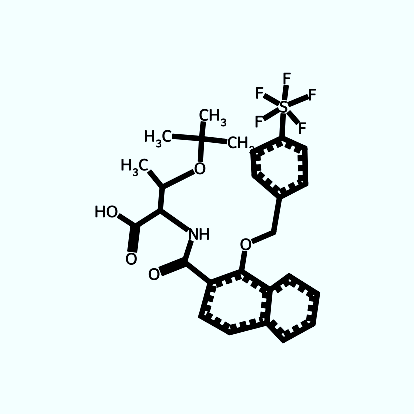 CC(OC(C)(C)C)C(NC(=O)c1ccc2ccccc2c1OCc1ccc(S(F)(F)(F)(F)F)cc1)C(=O)O